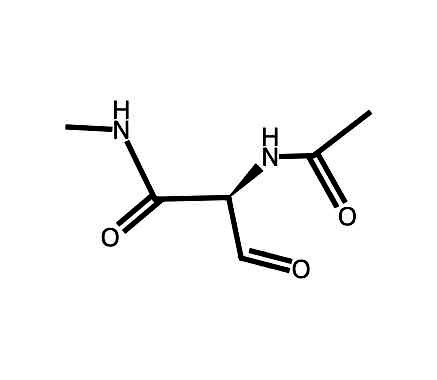 CNC(=O)[C@H](C=O)NC(C)=O